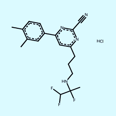 Cc1ccc(-c2cc(CCCNC(C)(F)C(F)F)nc(C#N)n2)cc1C.Cl